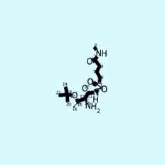 CNC(=O)CCCS(=O)(=O)NC(=O)[C@@H](N)[C@H](C)OC(C)(C)C